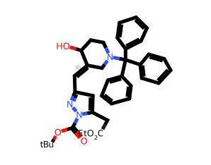 CCOC(=O)Cc1cc(/C=C2\CN(C(c3ccccc3)(c3ccccc3)c3ccccc3)CCC2O)nn1C(=O)OC(C)(C)C